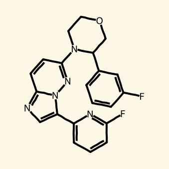 Fc1cccc(C2COCCN2c2ccc3ncc(-c4cccc(F)n4)n3n2)c1